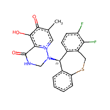 Cc1cn2c(c(O)c1=O)C(=O)NCN2[C@@H]1c2ccccc2SCc2c1ccc(F)c2F